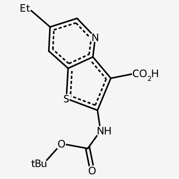 CCc1cnc2c(C(=O)O)c(NC(=O)OC(C)(C)C)sc2c1